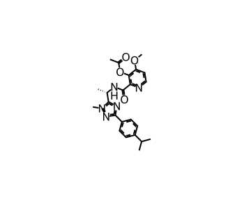 COc1ccnc(C(=O)N[C@@H](C)c2nc(-c3ccc(C(C)C)cc3)nn2C)c1OC(C)=O